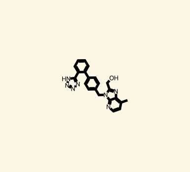 Cc1ccnc2c1nc(CO)n2Cc1ccc(-c2ccccc2-c2nnn[nH]2)cc1